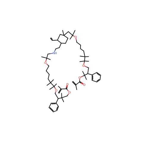 C=CC1CC(C)(CC(C)(C)OCCCCC(C)(C)C(C)(C)OCC(c2ccccc2)C(C)(C)OC(=O)C(=C)C)CCC1CCNCC(C)(C)OCCCCC(C)(C)C(C)(C)OCC(c1ccccc1)C(C)(C)COC(=O)C(=C)C